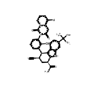 Cc1c(C2c3c([nH]c4cc(C(C)(C)O)ccc34)[C@@H](C(N)=O)C[C@H]2C#N)cccc1-n1c(=O)cc2c(Cl)cccn2c1=O